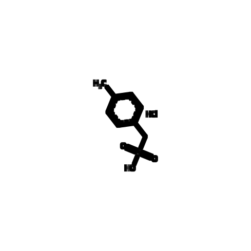 Cc1ccc(CS(=O)(=O)O)cc1.Cl